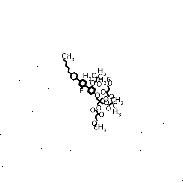 C=C(C)C(=O)OCC(COC(=O)C(=O)CCOC)(COC(=O)C(=O)CCOC)COc1ccc(-c2ccc(C3CCC(CCCCCC)CC3)cc2F)c(OC(=O)C(=C)C)c1